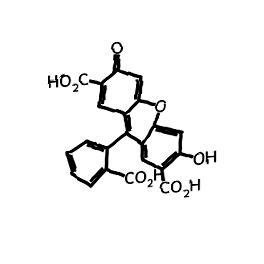 O=C(O)c1cc2c(-c3ccccc3C(=O)O)c3cc(C(=O)O)c(=O)cc-3oc2cc1O